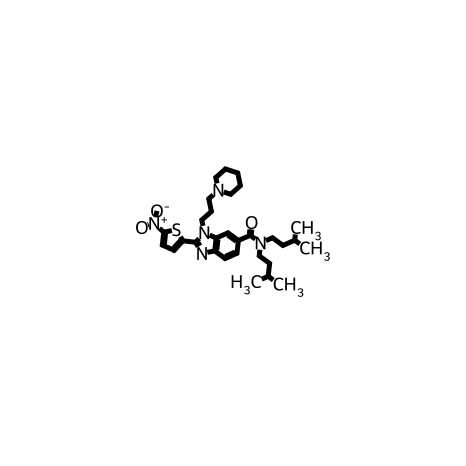 CC(C)CCN(CCC(C)C)C(=O)c1ccc2nc(-c3ccc([N+](=O)[O-])s3)n(CCCN3CCCCC3)c2c1